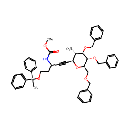 CC(C)(C)OC(=O)NC(C#C[C@@H]1O[C@H](COCc2ccccc2)[C@@H](OCc2ccccc2)[C@H](OCc2ccccc2)[C@H]1[N+](=O)[O-])CCO[Si](c1ccccc1)(c1ccccc1)C(C)(C)C